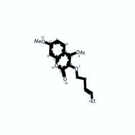 CCC=CCCOc1c(OC(C)=O)c2ccc(OC)cc2oc1=O